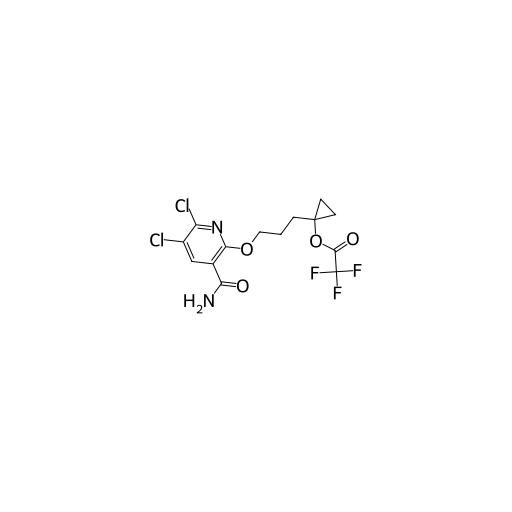 NC(=O)c1cc(Cl)c(Cl)nc1OCCCC1(OC(=O)C(F)(F)F)CC1